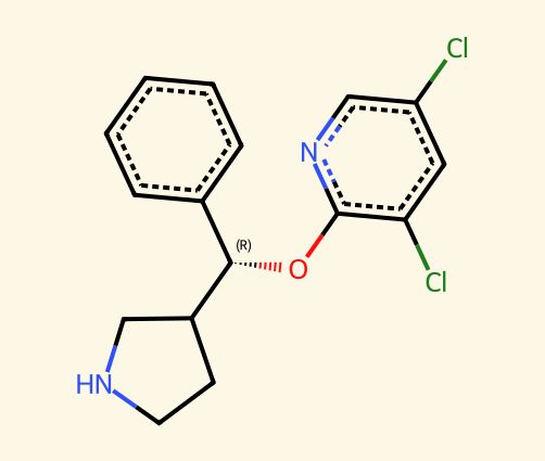 Clc1cnc(O[C@@H](c2ccccc2)C2CCNC2)c(Cl)c1